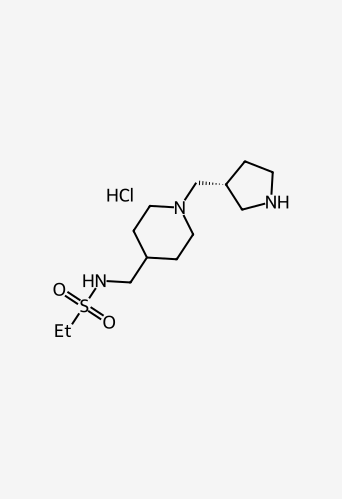 CCS(=O)(=O)NCC1CCN(C[C@@H]2CCNC2)CC1.Cl